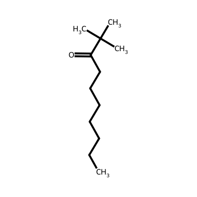 CCCCCCCC(=O)C(C)(C)C